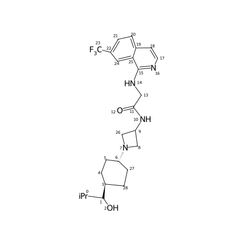 CC(C)C(O)[C@H]1CC[C@H](N2CC(NC(=O)CNc3nccc4ccc(C(F)(F)F)cc34)C2)CC1